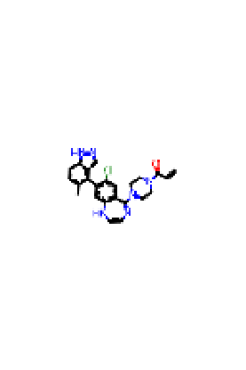 C=CC(=O)N1CCN(C2=NC=CNc3cc(-c4c(C)ccc5[nH]ncc45)c(Cl)cc32)CC1